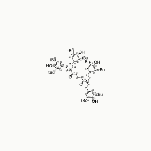 CC(C)(C)c1cc(CCN(CCc2cc(C(C)(C)C)c(O)c(C(C)(C)C)c2)C(=O)CCCC(=O)N(CCc2cc(C(C)(C)C)c(O)c(C(C)(C)C)c2)CCc2cc(C(C)(C)C)c(O)c(C(C)(C)C)c2)cc(C(C)(C)C)c1O